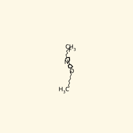 CCCCCCCCCOc1ccc(-c2ccc(CCCC(C)F)cn2)cc1